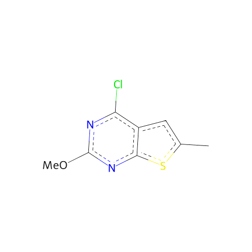 COc1nc(Cl)c2cc(C)sc2n1